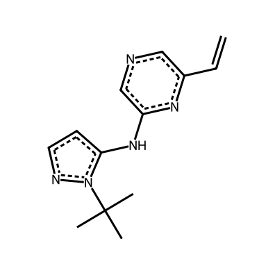 C=Cc1cncc(Nc2ccnn2C(C)(C)C)n1